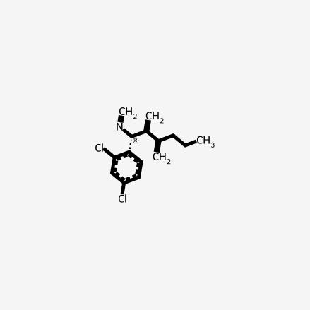 C=N[C@H](C(=C)C(=C)CCC)c1ccc(Cl)cc1Cl